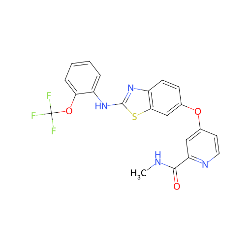 CNC(=O)c1cc(Oc2ccc3nc(Nc4ccccc4OC(F)(F)F)sc3c2)ccn1